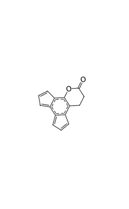 O=C1CCc2c(c3c(c4c2C=CC=4)=CC=C3)O1